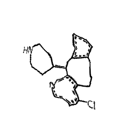 Clc1ccnc2c1CCc1ccccc1C2=C1CCNCC1